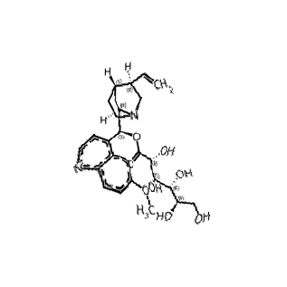 C=C[C@H]1CN2CC[C@H]1C[C@@H]2[C@@H](OC(=O)[C@H](O)[C@@H](O)[C@H](O)[C@H](O)CO)c1ccnc2ccc(OC)cc12